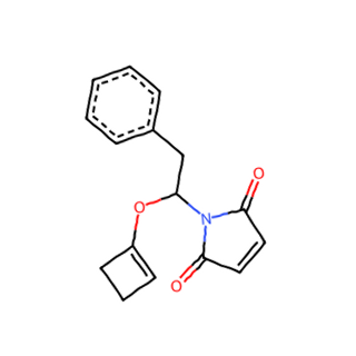 O=C1C=CC(=O)N1C(Cc1ccccc1)OC1=CCC1